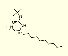 CCCCCCCCCC[C@H](CN)NC(=O)OC(C)(C)C